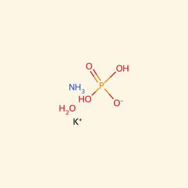 N.O.O=P([O-])(O)O.[K+]